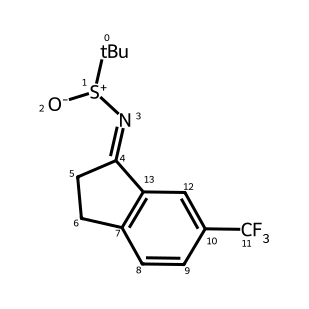 CC(C)(C)[S+]([O-])/N=C1\CCc2ccc(C(F)(F)F)cc21